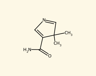 CC1(C)C=NC=C1C(N)=O